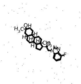 C[C@@]1(O)CC[C@H]2[C@H](CC[C@@H]3[C@@H]2CC[C@]2(C)[C@@H](C(=O)Cn4nnc5c(F)cccc54)CC[C@@H]32)C1